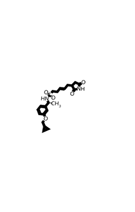 C[C@@H](NS(=O)(=O)CC/C=C/CC1CC(=O)NC1=O)c1cccc(OCC2CC2)c1